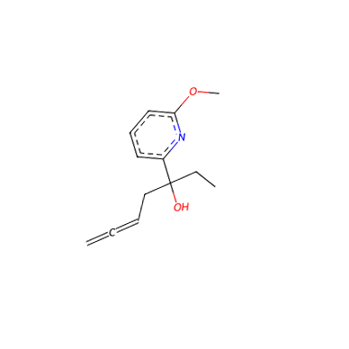 C=C=CCC(O)(CC)c1cccc(OC)n1